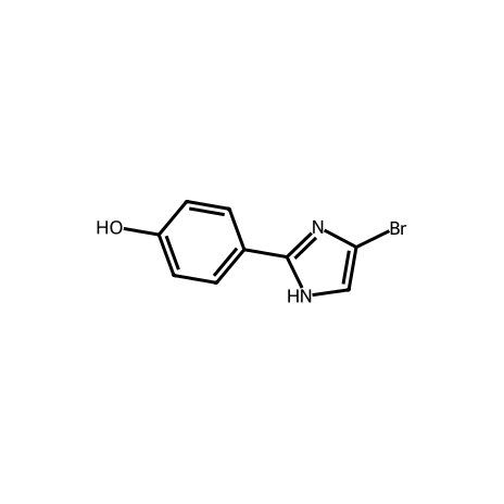 Oc1ccc(-c2nc(Br)c[nH]2)cc1